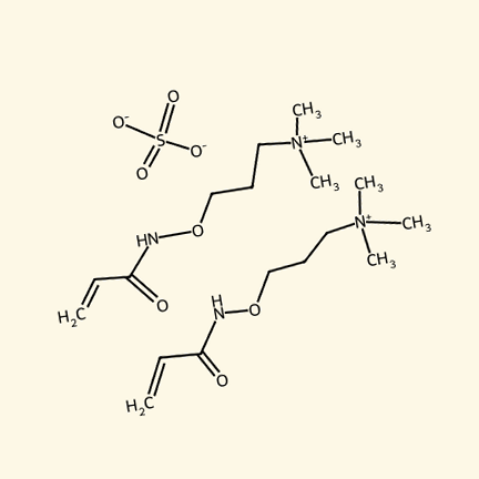 C=CC(=O)NOCCC[N+](C)(C)C.C=CC(=O)NOCCC[N+](C)(C)C.O=S(=O)([O-])[O-]